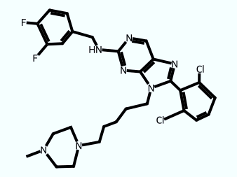 CN1CCN(CCCCCn2c(-c3c(Cl)cccc3Cl)nc3cnc(NCc4ccc(F)c(F)c4)nc32)CC1